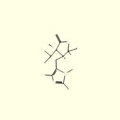 [2H]c1nc(C)n(C)c1C[C@@]1([2H])C([2H])([2H])OC(=O)[C@@]1([2H])C([2H])([2H])C